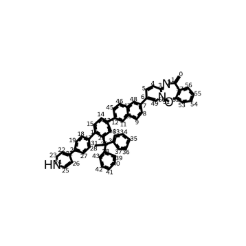 C=C1N=C2C=CC(c3ccc4cc(-c5ccc(-c6ccc(C7=CCNC=C7)cc6)c(C(C)(c6ccccc6)c6ccccc6)c5)ccc4c3)=CN2Oc2ccccc21